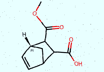 COC(=O)C1C(C(=O)O)C2C=C[C@H]1C2